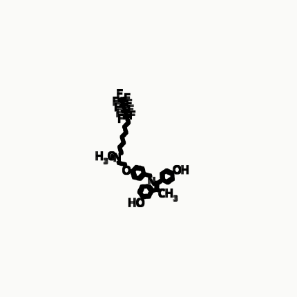 Cc1c(-c2ccc(O)cc2)n(Cc2ccc(OCCN(C)CCCCCCCC(F)(F)C(F)(F)C(F)(F)C(F)(F)F)cc2)c2ccc(O)cc12